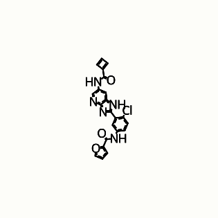 O=C(Nc1cnc2nc(-c3cc(NC(=O)c4ccco4)ccc3Cl)[nH]c2c1)C1=CC=C1